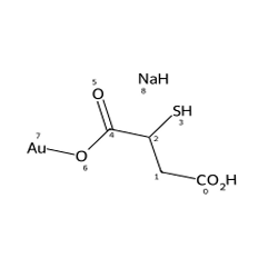 O=C(O)CC(S)C(=O)[O][Au].[NaH]